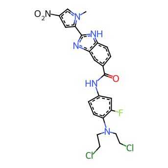 Cn1cc([N+](=O)[O-])cc1-c1nc2cc(C(=O)Nc3ccc(N(CCCl)CCCl)c(F)c3)ccc2[nH]1